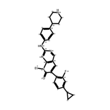 CCn1c(=O)c(-c2ccc(C3CC3)cc2F)cc2cnc(Nc3ccc(C4CCNCC4)cc3)nc21